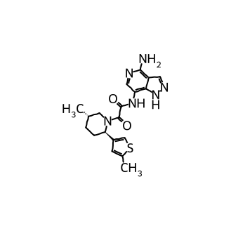 Cc1cc([C@H]2CC[C@H](C)CN2C(=O)C(=O)Nc2cnc(N)c3cn[nH]c23)cs1